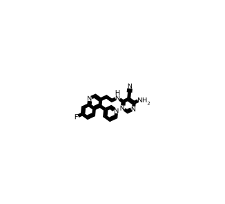 N#Cc1c(N)ncnc1NCCc1cnc2cc(F)ccc2c1-c1cccnc1